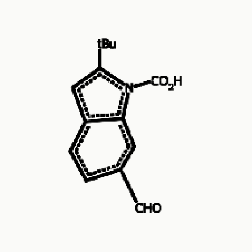 CC(C)(C)c1cc2ccc(C=O)cc2n1C(=O)O